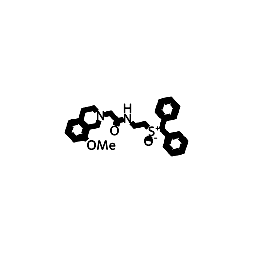 COc1cccc2c1CN(CC(=O)NCC[S+]([O-])C(c1ccccc1)c1ccccc1)CC2